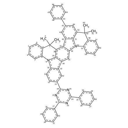 CC1(C)c2ccccc2-n2c3ccc(-c4nc(-c5ccccc5)nc(-c5ccccc5)n4)cc3c3cc4c(c1c32)c1cc(-c2ccccc2)cc2c1n4-c1ccccc1C2(C)C